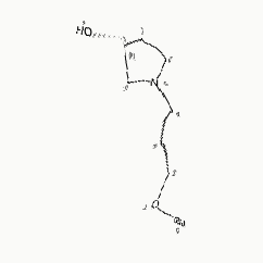 CCC(C)OCCCN1CC[C@@H](O)C1